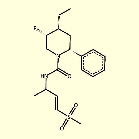 CC[C@@H]1C[C@H](c2ccccc2)N(C(=O)NC(C)/C=C/S(C)(=O)=O)C[C@@H]1F